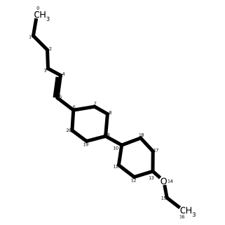 CCCCC=CC1CCC(C2CCC(OCC)CC2)CC1